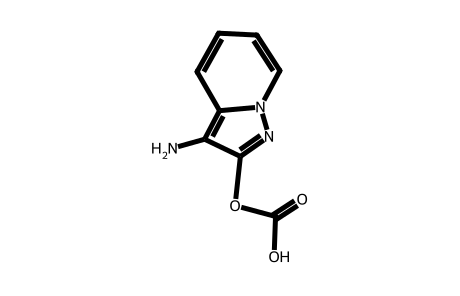 Nc1c(OC(=O)O)nn2ccccc12